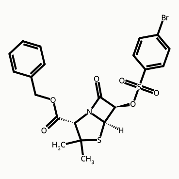 CC1(C)S[C@@H]2[C@H](OS(=O)(=O)c3ccc(Br)cc3)C(=O)N2[C@H]1C(=O)OCc1ccccc1